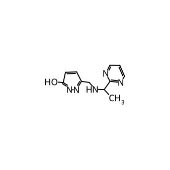 CC(NCc1ccc(O)nn1)c1ncccn1